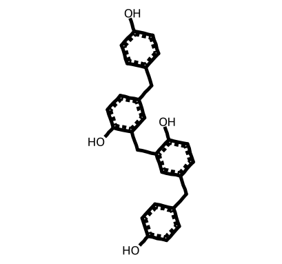 Oc1ccc(Cc2ccc(O)c(Cc3cc(Cc4ccc(O)cc4)ccc3O)c2)cc1